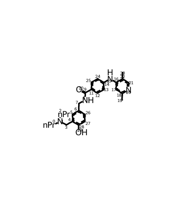 CCCN(CCC)Cc1cc(CNC(=O)c2ccc(Nc3cc(C)ncc3C)cc2)ccc1O